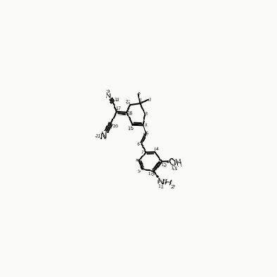 CC1(C)CC(C=Cc2ccc(N)c(O)c2)=CC(=C(C#N)C#N)C1